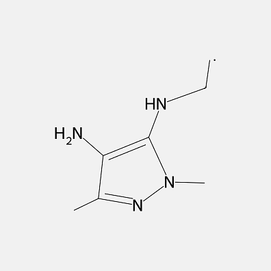 [CH2]CNc1c(N)c(C)nn1C